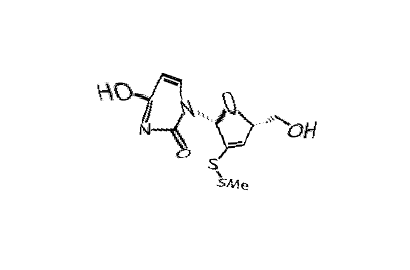 CSSC1=C[C@@H](CO)O[C@H]1n1ccc(O)nc1=O